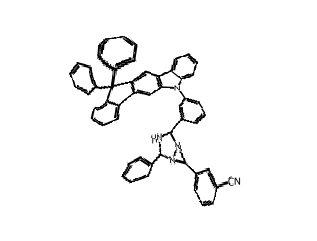 N#Cc1cccc(C2N3C(c4cccc(-n5c6ccccc6c6cc7c(cc65)-c5ccccc5C7(c5ccccc5)c5ccccc5)c4)NC(c4ccccc4)[N@]23)c1